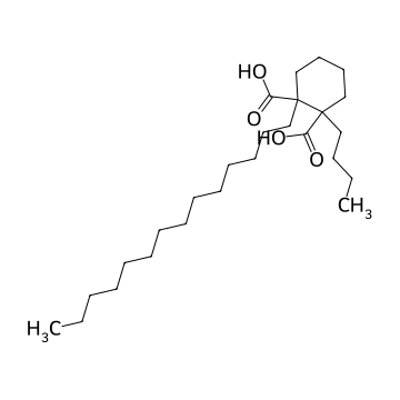 CCCCCCCCCCCCCCC1(C(=O)O)CCCCC1(CCCC)C(=O)O